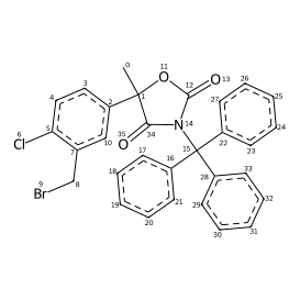 CC1(c2ccc(Cl)c(CBr)c2)OC(=O)N(C(c2ccccc2)(c2ccccc2)c2ccccc2)C1=O